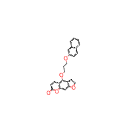 O=c1ccc2c(OCCCOc3ccc4ccccc4c3)c3ccoc3cc2o1